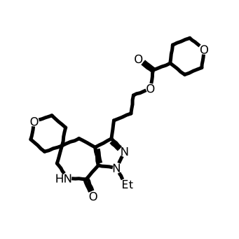 CCn1nc(CCCOC(=O)C2CCOCC2)c2c1C(=O)NCC1(CCOCC1)C2